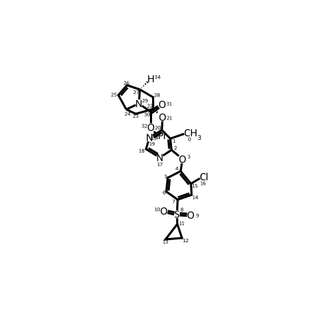 Cc1c(Oc2ccc(S(=O)(=O)C3CC3)cc2Cl)ncnc1O[C@@H]1CC2C=C[C@@H](C1)N2C(=O)OC(C)C